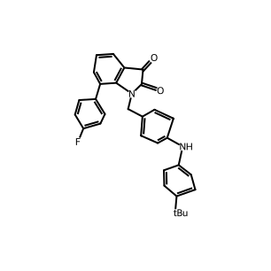 CC(C)(C)c1ccc(Nc2ccc(CN3C(=O)C(=O)c4cccc(-c5ccc(F)cc5)c43)cc2)cc1